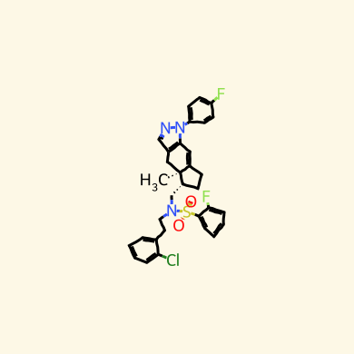 C[C@]12Cc3cnn(-c4ccc(F)cc4)c3C=C1CC[C@@H]2CN(CCc1ccccc1Cl)S(=O)(=O)c1ccccc1F